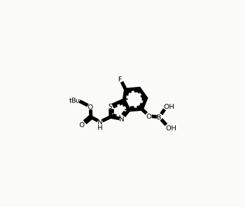 CC(C)(C)OC(=O)Nc1nc2c(OB(O)O)ccc(F)c2s1